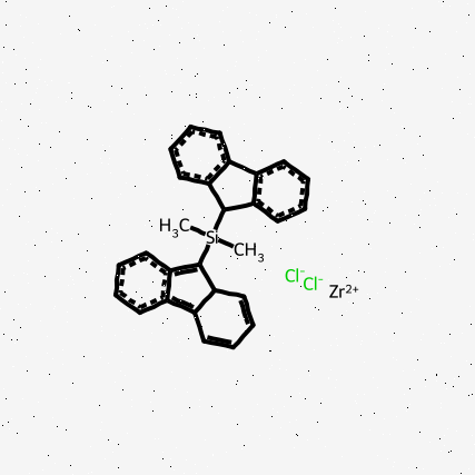 C[Si](C)(C1=c2ccccc2=C2C=CC=CC21)C1c2ccccc2-c2ccccc21.[Cl-].[Cl-].[Zr+2]